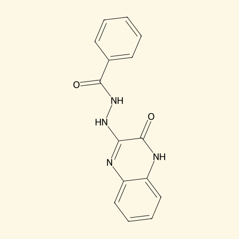 O=C(NNc1nc2ccccc2[nH]c1=O)c1ccccc1